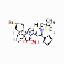 CC(C)(C)SN=C(CCN(C(=O)O)C(C)(c1ccc(Br)cc1)C(C)(C)C)c1ccccc1